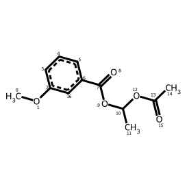 COc1cccc(C(=O)OC(C)OC(C)=O)c1